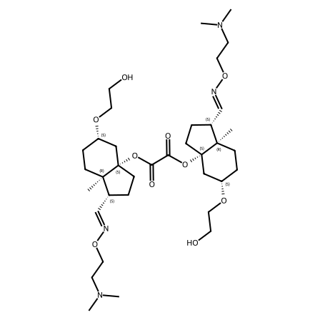 CN(C)CCON=C[C@H]1CC[C@]2(OC(=O)C(=O)O[C@]34CC[C@H](C=NOCCN(C)C)[C@@]3(C)CC[C@H](OCCO)C4)C[C@@H](OCCO)CC[C@]12C